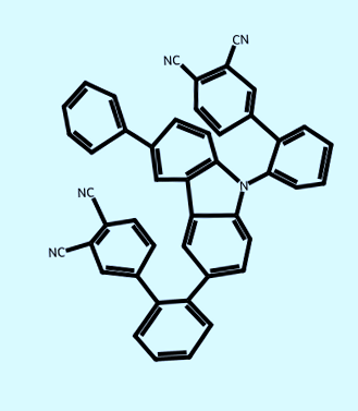 N#Cc1ccc(-c2ccccc2-c2ccc3c(c2)c2cc(-c4ccccc4)ccc2n3-c2ccccc2-c2ccc(C#N)c(C#N)c2)cc1C#N